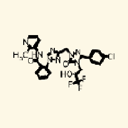 Cc1ncccc1NC(=O)c1ccccc1-n1cnc(Cn2nc(-c3ccc(Cl)cc3)n(C[C@H](O)C(F)(F)F)c2=O)n1